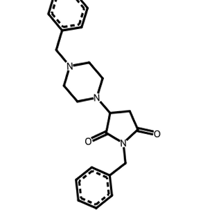 O=C1CC(N2CCN(Cc3ccccc3)CC2)C(=O)N1Cc1ccccc1